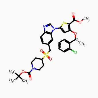 COC(=O)c1sc(-n2cnc3ccc(CS(=O)(=O)C4CCN(C(=O)OC(C)(C)C)CC4)cc32)cc1O[C@H](C)c1ccccc1Cl